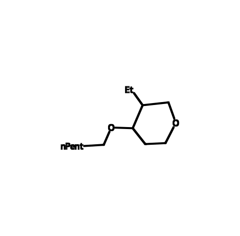 [CH2]CC1COCCC1OCCCCCC